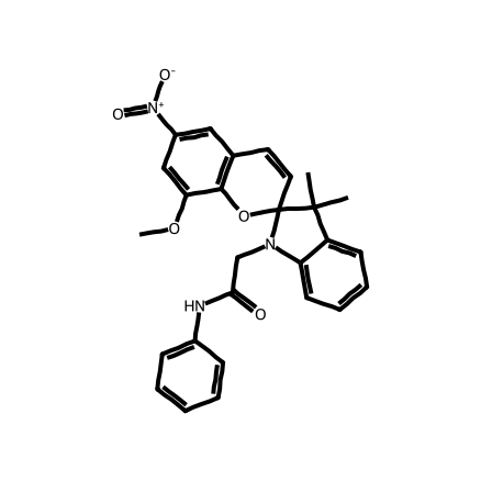 COc1cc([N+](=O)[O-])cc2c1OC1(C=C2)N(CC(=O)Nc2ccccc2)c2ccccc2C1(C)C